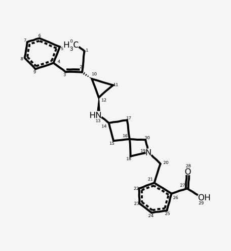 CCC(=Cc1ccccc1)[C@@H]1C[C@H]1NC1CC2(C1)CN(Cc1ccccc1C(=O)O)C2